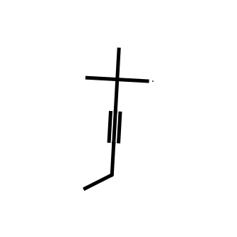 [CH2]C(C)(C)C#CCC